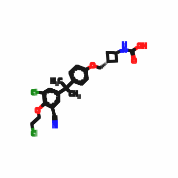 CC(C)(c1ccc(OC[C@H]2C[C@H](NC(=O)O)C2)cc1)c1cc(Cl)c(OCCCl)c(C#N)c1